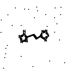 C(=C\c1nnn[nH]1)/c1nnsn1